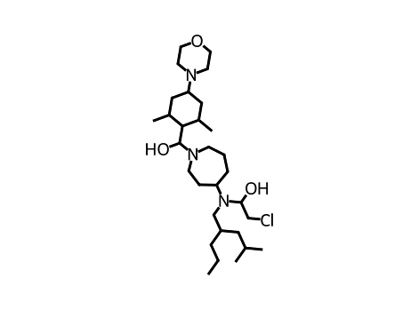 CCCC(CC(C)C)CN(C(O)CCl)C1CCCN(C(O)C2C(C)CC(N3CCOCC3)CC2C)CC1